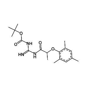 Cc1cc(C)c(OC(C)C(=O)NC(=N)NC(=O)OC(C)(C)C)c(C)c1